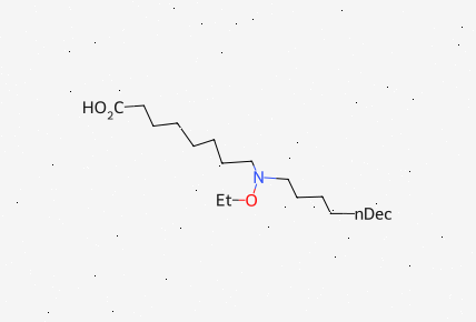 CCCCCCCCCCCCCCN(CCCCCCCC(=O)O)OCC